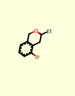 CCC1Cc2c(Br)cccc2CO1